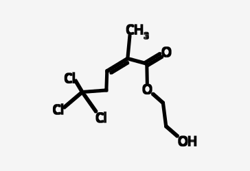 CC(=CCC(Cl)(Cl)Cl)C(=O)OCCO